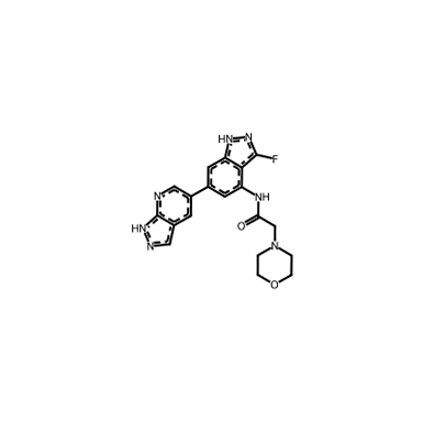 O=C(CN1CCOCC1)Nc1cc(-c2cnc3[nH]ncc3c2)cc2[nH]nc(F)c12